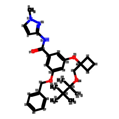 Cn1ccc(NC(=O)c2cc(OCc3ccccc3)cc(OC3(CO[Si](C)(C)C(C)(C)C)CCC3)c2)n1